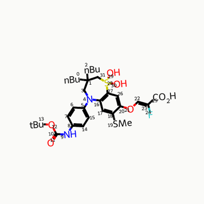 CCCCC1(CCCC)CN(c2ccc(NC(=O)OC(C)(C)C)cc2)c2cc(SC)c(OC=C(F)C(=O)O)cc2S(O)(O)C1